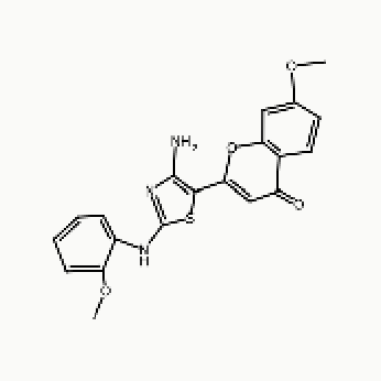 COc1ccc2c(=O)cc(-c3sc(Nc4ccccc4OC)nc3N)oc2c1